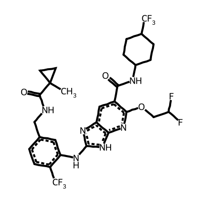 CC1(C(=O)NCc2ccc(C(F)(F)F)c(Nc3nc4cc(C(=O)NC5CCC(C(F)(F)F)CC5)c(OCC(F)F)nc4[nH]3)c2)CC1